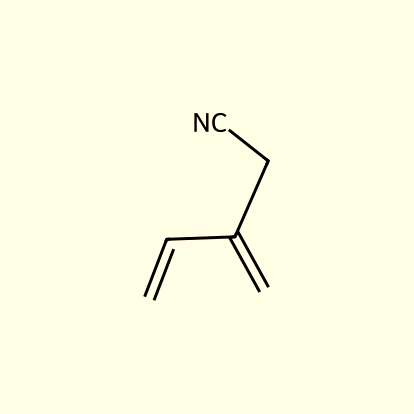 C=CC(=C)CC#N